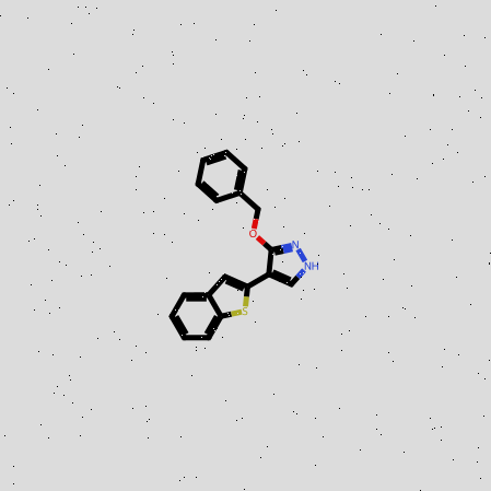 c1ccc(COc2n[nH]cc2-c2cc3ccccc3s2)cc1